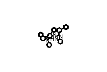 C1=CC(n2c3c(c4c2=CC2C(C=4)c4ccccc4N2C2NC4=C(C=CCC4)N=C2C2=CC(c4ccccc4)CC=C2)-c2ccccc2CC3)CCC1